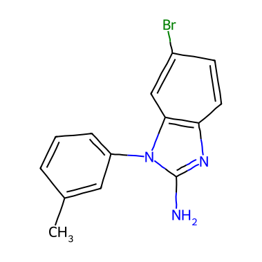 Cc1cccc(-n2c(N)nc3ccc(Br)cc32)c1